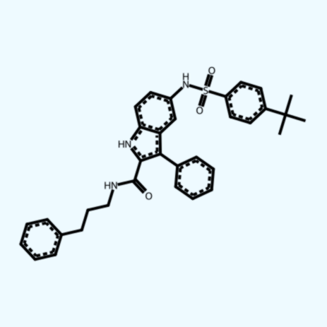 CC(C)(C)c1ccc(S(=O)(=O)Nc2ccc3[nH]c(C(=O)NCCCc4ccccc4)c(-c4ccccc4)c3c2)cc1